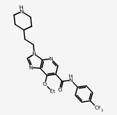 CCOc1c(C(=O)Nc2ccc(C(F)(F)F)cc2)cnc2c1ncn2CCC1CCNCC1